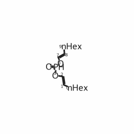 CCCCCCC=CO[PH](=O)OC=CCCCCCC